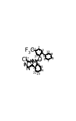 FC(F)(F)c1ccc(-c2ccccc2)c(Oc2nn3c(Cl)nnc3c3ccccc23)c1